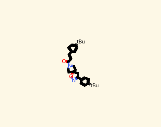 CC(C)(C)c1ccc(C=CC(=O)N2CCC3(CC2)CC(c2ccc(C(C)(C)C)cc2)=NO3)cc1